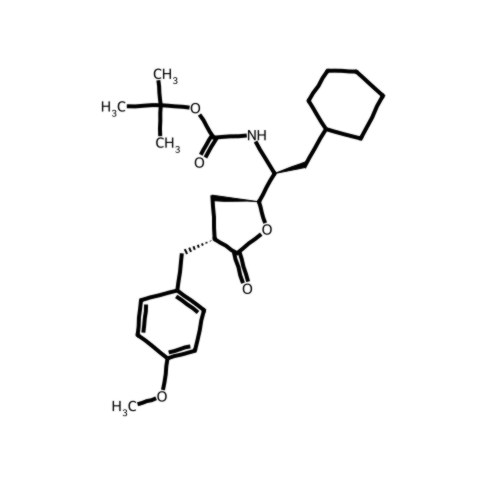 COc1ccc(C[C@@H]2C[C@@H]([C@H](CC3CCCCC3)NC(=O)OC(C)(C)C)OC2=O)cc1